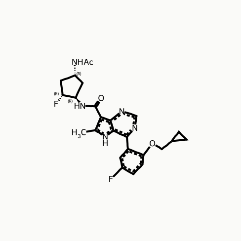 CC(=O)N[C@H]1C[C@@H](F)[C@H](NC(=O)c2c(C)[nH]c3c(-c4cc(F)ccc4OCC4CC4)ncnc23)C1